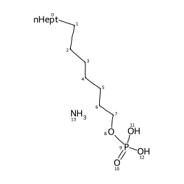 CCCCCCCCCCCCCCOP(=O)(O)O.N